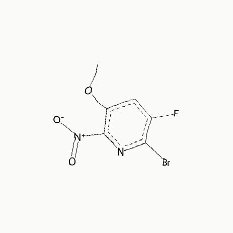 COc1cc(F)c(Br)nc1[N+](=O)[O-]